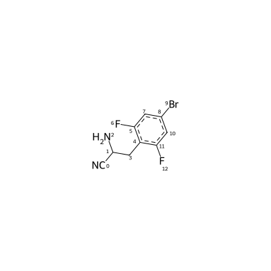 N#CC(N)Cc1c(F)cc(Br)cc1F